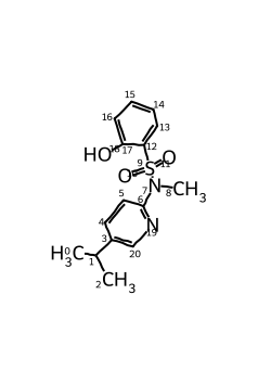 CC(C)c1ccc(N(C)S(=O)(=O)c2ccccc2O)nc1